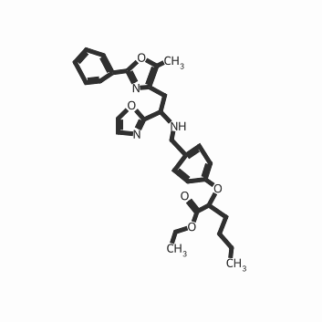 CCCCC(Oc1ccc(CNC(Cc2nc(-c3ccccc3)oc2C)c2ncco2)cc1)C(=O)OCC